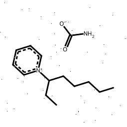 CCCCCC(CC)[n+]1ccccc1.NC(=O)[O-]